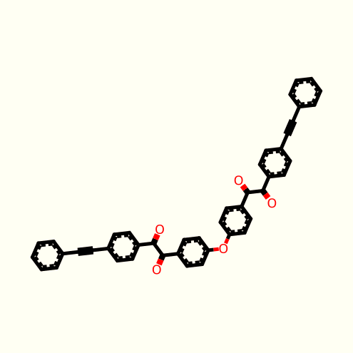 O=C(C(=O)c1ccc(Oc2ccc(C(=O)C(=O)c3ccc(C#Cc4ccccc4)cc3)cc2)cc1)c1ccc(C#Cc2ccccc2)cc1